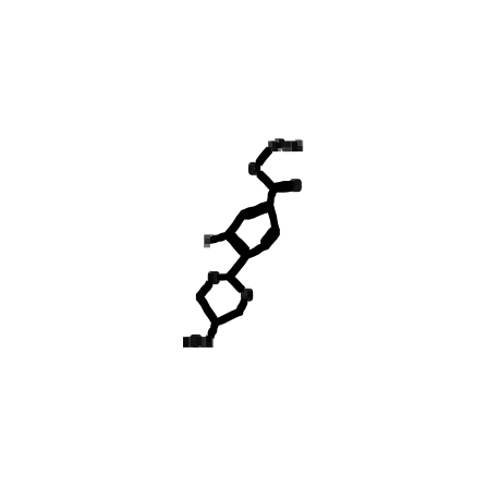 CCCCCCCCC1COC(c2ccc(C(=O)OCCCCC)cc2F)OC1